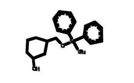 CC(C)(C)[Si](OCC1CCCC(O)C1)(c1ccccc1)c1ccccc1